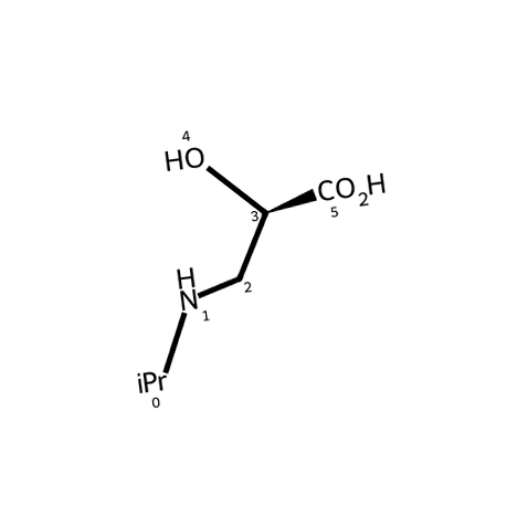 CC(C)NC[C@@H](O)C(=O)O